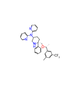 Cc1cc([C@@H](C)OC[C@@]2(c3ccccc3)CC[C@H](N(c3ccccn3)c3ccccn3)CN2)cc(C(F)(F)F)c1